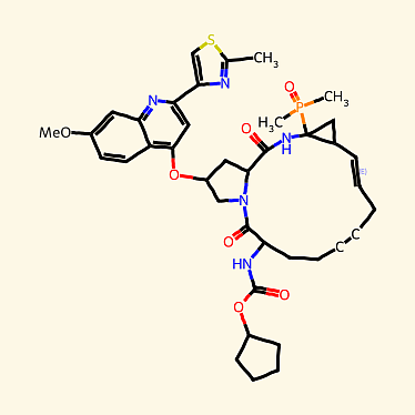 COc1ccc2c(OC3CC4C(=O)NC5(P(C)(C)=O)CC5/C=C/CCCCCC(NC(=O)OC5CCCC5)C(=O)N4C3)cc(-c3csc(C)n3)nc2c1